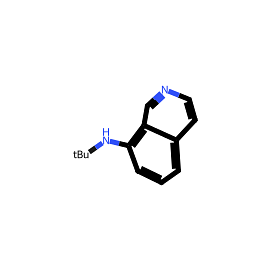 CC(C)(C)Nc1cccc2ccncc12